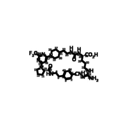 N#Cc1ccc(CCNC(=O)[C@@H]2CCCN2c2cc(N3CCC(CCNC(=O)N[C@@H](CCCNC(=N)N)C(=O)O)CC3)nc(C(F)(F)F)n2)cc1